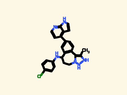 CC1=C2c3ccc(-c4ccnc5[nH]ccc45)cc3C(Nc3ccc(Cl)cc3)CCN2NN1